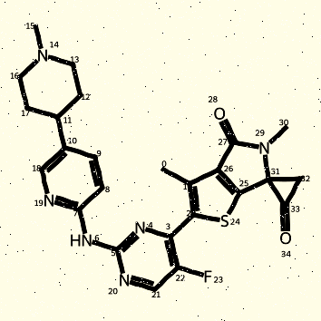 Cc1c(-c2nc(Nc3ccc(C4CCN(C)CC4)cn3)ncc2F)sc2c1C(=O)N(C)C21CC1=O